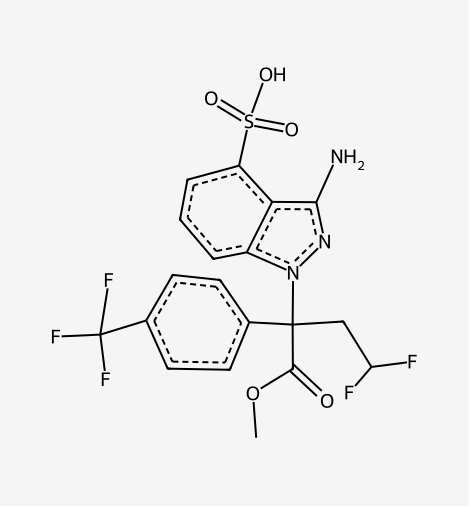 COC(=O)C(CC(F)F)(c1ccc(C(F)(F)F)cc1)n1nc(N)c2c(S(=O)(=O)O)cccc21